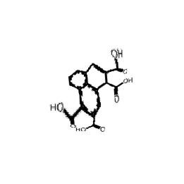 O=C(O)C1=Cc2cccc3c(C(=O)O)c(C(=O)O)cc(c23)C1C(=O)O